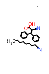 CCCCCCCCC#N.N#CC(C(=O)O)=C(c1ccccc1)c1ccccc1